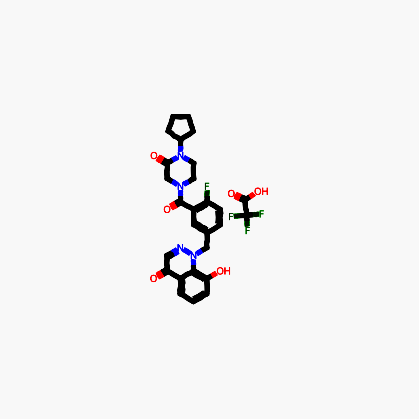 O=C(O)C(F)(F)F.O=C(c1cc(Cn2ncc(=O)c3cccc(O)c32)ccc1F)N1CCN(C2CCCC2)C(=O)C1